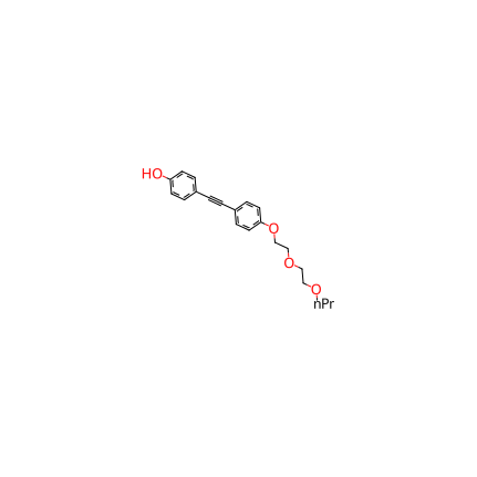 CCCOCCOCCOc1ccc(C#Cc2ccc(O)cc2)cc1